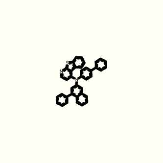 c1ccc(-c2ccc(N(c3cc(-c4ccccc4)c4ccccc4c3)c3ccnc4sc5ccccc5c34)cc2)cc1